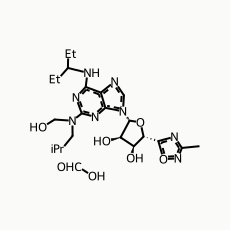 CCC(CC)Nc1nc(N(CO)CC(C)C)nc2c1ncn2[C@@H]1O[C@H](c2nc(C)no2)[C@@H](O)[C@H]1O.O=CO